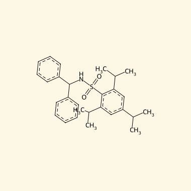 CC(C)c1cc(C(C)C)c(S(=O)(=O)NC(c2ccccc2)c2ccccc2)c(C(C)C)c1